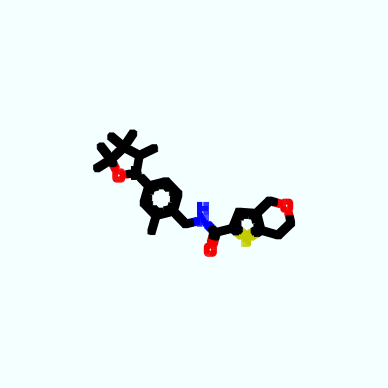 Cc1cc(B2OC(C)(C)C(C)(C)C2C)ccc1CNC(=O)c1cc2c(s1)CCOC2